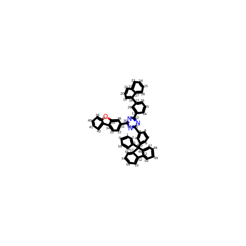 c1ccc(C2(c3cccc(-c4nc(-c5cccc(-c6cccc7ccccc67)c5)nc(-c5ccc6c(c5)oc5ccccc56)n4)c3)c3ccccc3-c3ccccc32)cc1